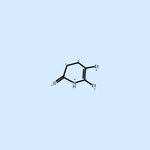 CCC1=C(CC)NC(=O)CC1